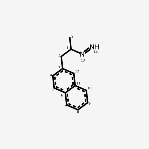 CC(Cc1ccc2ccccc2c1)N=N